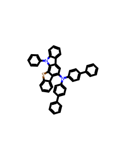 c1ccc(-c2ccc(N(c3ccc(-c4ccccc4)cc3)c3cc4c5ccccc5n(-c5ccccc5)c4c4sc5ccccc5c34)cc2)cc1